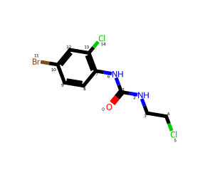 O=C(NCCCl)Nc1ccc(Br)cc1Cl